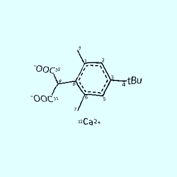 Cc1cc(C(C)(C)C)cc(C)c1C(C(=O)[O-])C(=O)[O-].[Ca+2]